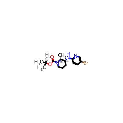 C[C@@H]1[C@@H](Nc2ccc(Br)cn2)CCCN1C(=O)OC(C)(C)C